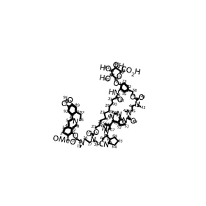 COc1ccc2cc3[n+](cc2c1OC(=O)N(C)CCN(C)C(=O)OCCCCCCCCCC(=O)Nc1cc(COC(=O)N(C)CCN(C)C(=O)n2ccc4c(-c5cnn([C@H](CC#N)C6CCCC6)c5)ncnc42)ccc1O[C@@H]1O[C@H](C(=O)O)[C@@H](O)[C@H](O)[C@H]1O)CCc1cc2c(cc1-3)OCO2